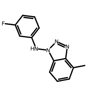 Cc1cccc2c1nnn2Nc1cccc(F)c1